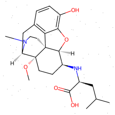 CO[C@@]12CC[C@H](N[C@@H](CC(C)C)C(=O)O)[C@@H]3Oc4c(O)ccc5c4[C@@]31CCN(C)[C@@H]2C5